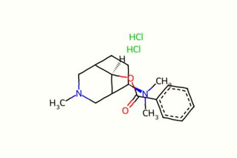 CN1CC2CC[C@@H](N(C)C)C(C1)[C@@H]2OC(=O)c1ccccc1.Cl.Cl